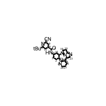 Cc1ccc(NC(=O)c2cc(C#N)nc(C(C)(C)C)c2)cc1-n1ccc2ncc(-c3cccnc3)n21